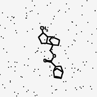 CC1CCC2C1C1CCC2(COC(=O)C2CC3C=CC2C3)C1